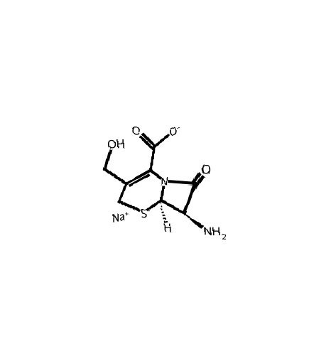 N[C@@H]1C(=O)N2C(C(=O)[O-])=C(CO)CS[C@H]12.[Na+]